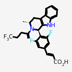 C=C(CCC(F)(F)F)N1[C@H](c2c(F)cc(/C=C/C(=O)O)cc2F)c2[nH]c3ccccc3c2C[C@H]1C